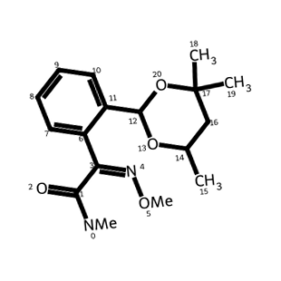 CNC(=O)/C(=N\OC)c1ccccc1C1OC(C)CC(C)(C)O1